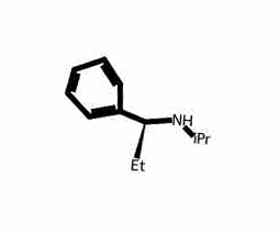 CC[C@H](NC(C)C)c1ccccc1